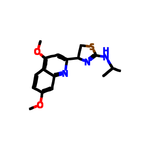 COc1ccc2c(OC)cc(C3CSC(NC(C)C)=N3)nc2c1